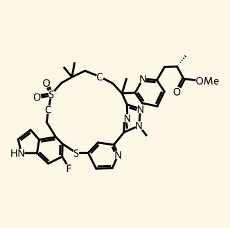 COC(=O)[C@@H](C)Cc1cccc(C2(C)CCCC(C)(C)CS(=O)(=O)CCc3c(c(F)cc4[nH]ccc34)Sc3ccnc(c3)-c3nc2nn3C)n1